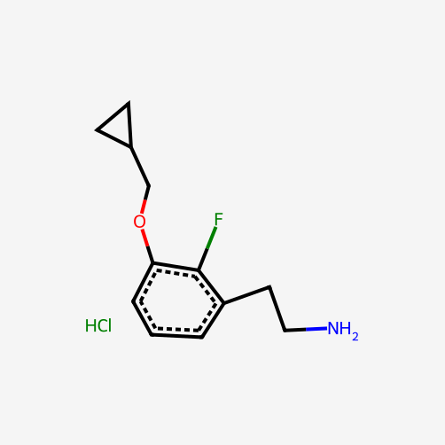 Cl.NCCc1cccc(OCC2CC2)c1F